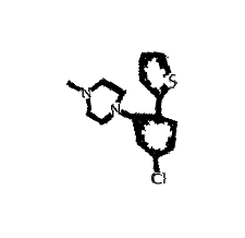 CN1CCN(c2cc(Cl)ccc2-c2cc[c]s2)CC1